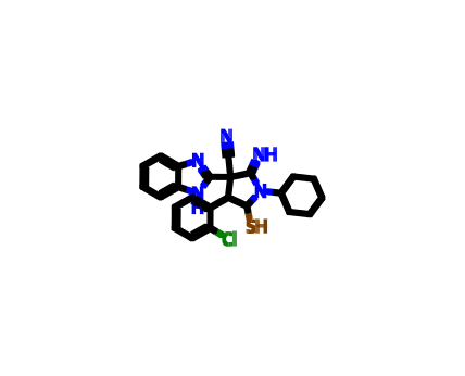 N#CC1(c2nc3ccccc3[nH]2)C(=N)N(C2CCCCC2)C(S)C1c1ccccc1Cl